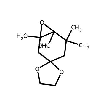 CC1(C)CC2(CC3(C)OC13C=O)OCCO2